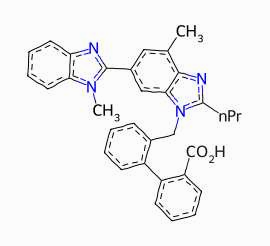 CCCc1nc2c(C)cc(-c3nc4ccccc4n3C)cc2n1Cc1ccccc1-c1ccccc1C(=O)O